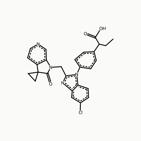 CCC(C(=O)O)c1ccc(-n2c(CN3C(=O)C4(CC4)c4ccncc43)nc3cc(Cl)ccc32)cc1